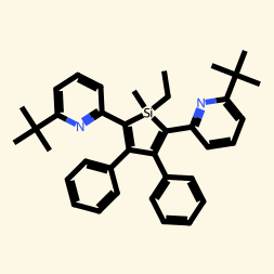 CC[Si]1(C)C(c2cccc(C(C)(C)C)n2)=C(c2ccccc2)C(c2ccccc2)=C1c1cccc(C(C)(C)C)n1